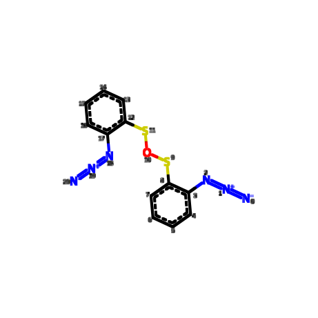 [N-]=[N+]=Nc1ccccc1SOSc1ccccc1N=[N+]=[N-]